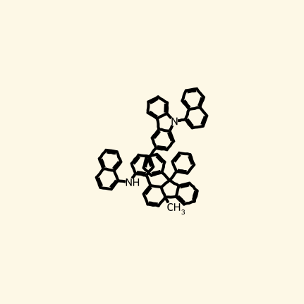 CC12C=CC=C(c3cc(-c4ccc5c(c4)c4ccccc4n5-c4cccc5ccccc45)ccc3Nc3cccc4ccccc34)C1C(c1ccccc1)(c1ccccc1)c1ccccc12